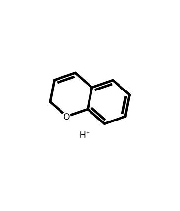 C1=Cc2ccccc2OC1.[H+]